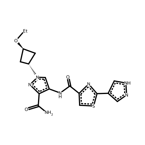 CCO[C@H]1C[C@H](n2cc(NC(=O)c3csc(-c4cn[nH]c4)n3)c(C(N)=O)n2)C1